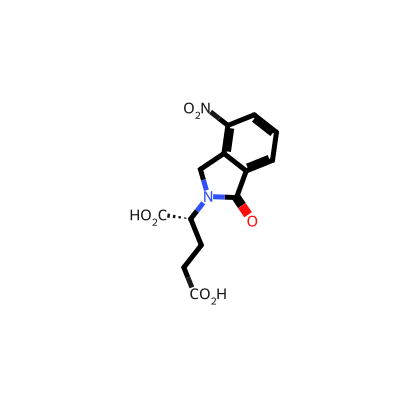 O=C(O)CC[C@H](C(=O)O)N1Cc2c(cccc2[N+](=O)[O-])C1=O